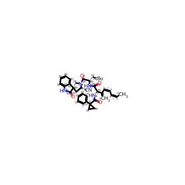 C=C(/C=C\C=C/C)[C@H](NC(=O)C1(c2ccccc2)CC1)C(=O)N[C@@H](CC(C)(C)C)C(=O)N1C[C@]2(C[C@H]1C#N)C(=O)Nc1ccccc12